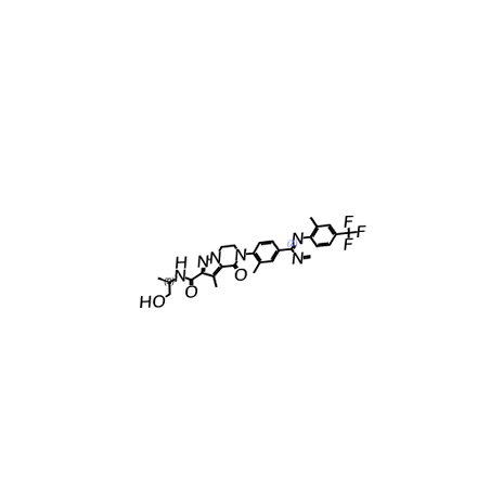 C=N/C(=N\c1ccc(C(F)(F)F)cc1C)c1ccc(N2CCn3nc(C(=O)N[C@H](C)CO)c(C)c3C2=O)c(C)c1